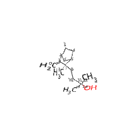 C=C1C2CCC(C2)C1(C)CCC(C)(C)O